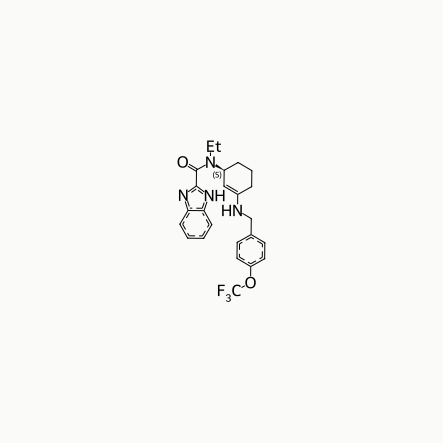 CCN(C(=O)c1nc2ccccc2[nH]1)[C@@H]1C=C(NCc2ccc(OC(F)(F)F)cc2)CCC1